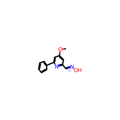 COc1cc(/C=N/O)nc(-c2ccccc2)c1